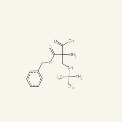 CC(C)(C)NCC(N)(C(=O)O)C(=O)OCc1ccccc1